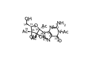 CC(=O)n1c(N)nc2c(ncn2[C@]2(C(C)=O)O[C@H](CO)[C@](O)(C(C)=O)[C@]2(O)C(C)=O)c1=O